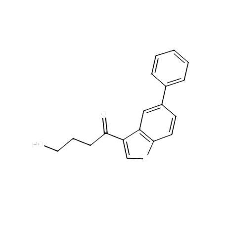 O=C(CCCO)c1csc2ccc(-c3ccccc3)cc12